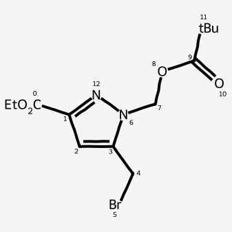 CCOC(=O)c1cc(CBr)n(COC(=O)C(C)(C)C)n1